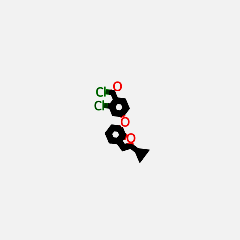 O=C(Cl)c1ccc(Oc2cccc3cc(C4CC4)oc23)cc1Cl